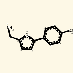 NCc1ccc(-c2ccc(Cl)cc2)o1